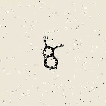 CC(C)(C)c1c(S)nn2cnncc12